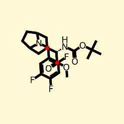 COC(=O)[C@@H](NC(=O)OC(C)(C)C)C1CC2CCC(C1)N2Cc1cc(F)c(F)cc1F